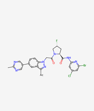 CC(=O)c1nn(CC(=O)N2C[C@H](F)C[C@H]2C(=O)Nc2cc(Cl)cc(Br)n2)c2ccc(-c3cnc(C)nc3)cc12